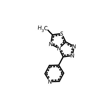 Cc1nn2c(-c3ccncc3)nnc2s1